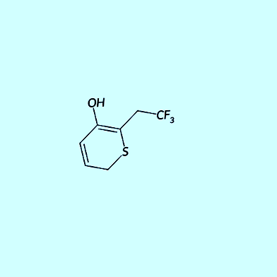 OC1=C(CC(F)(F)F)SCC=C1